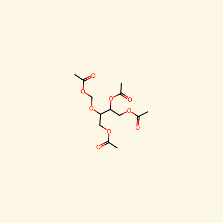 CC(=O)OCOC(COC(C)=O)C(COC(C)=O)OC(C)=O